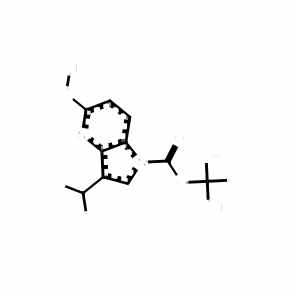 COc1ccc2c(n1)c(C(C)C)cn2C(=O)OC(C)(C)C